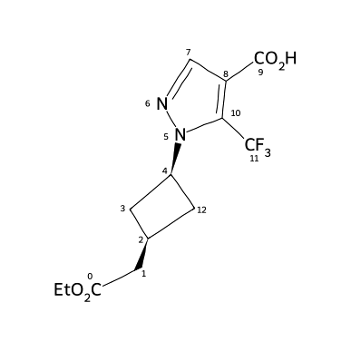 CCOC(=O)C[C@H]1C[C@@H](n2ncc(C(=O)O)c2C(F)(F)F)C1